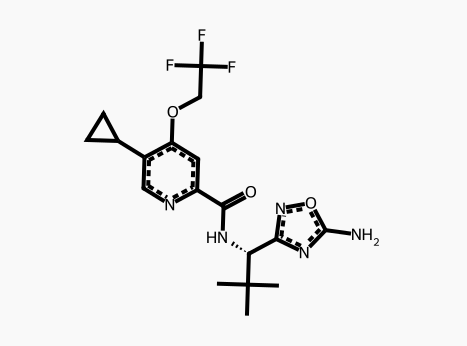 CC(C)(C)[C@H](NC(=O)c1cc(OCC(F)(F)F)c(C2CC2)cn1)c1noc(N)n1